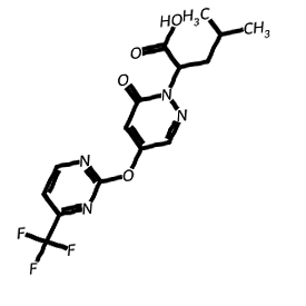 CC(C)CC(C(=O)O)n1ncc(Oc2nccc(C(F)(F)F)n2)cc1=O